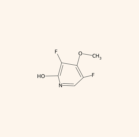 COc1c(F)cnc(O)c1F